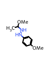 COc1ccc(NNC(C)OC)cc1